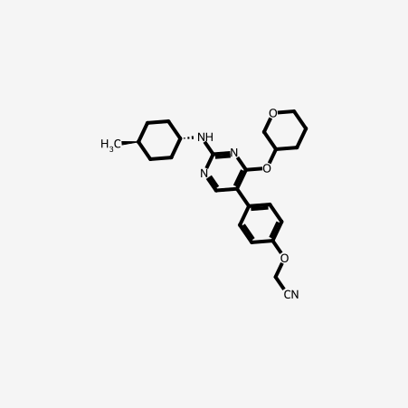 C[C@H]1CC[C@H](Nc2ncc(-c3ccc(OCC#N)cc3)c(OC3CCCOC3)n2)CC1